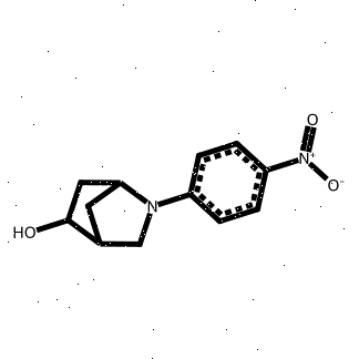 O=[N+]([O-])c1ccc(N2CC3CC2CC3O)cc1